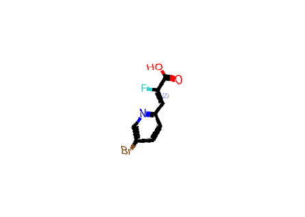 O=C(O)/C(F)=C/c1ccc(Br)cn1